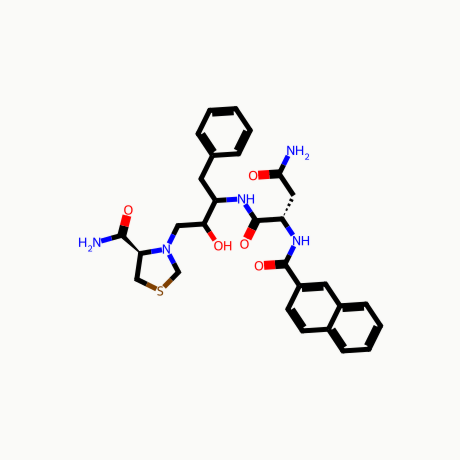 NC(=O)C[C@H](NC(=O)c1ccc2ccccc2c1)C(=O)NC(Cc1ccccc1)C(O)CN1CSC[C@H]1C(N)=O